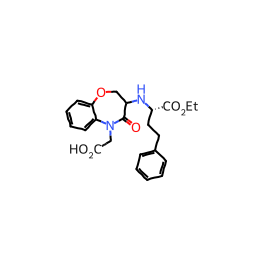 CCOC(=O)[C@H](CCc1ccccc1)NC1COc2ccccc2N(CC(=O)O)C1=O